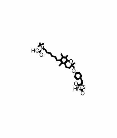 Cc1c(C)c2c(c(C)c1CCCCCCN(C(=O)O)C(C)(C)C)CCC(C)(COc1ccc(C=C3SC(=O)NC3=O)cc1)O2